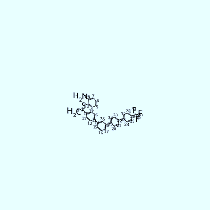 C=C(Sc1ccccc1N)c1ccc(-c2cccc(-c3ccc(-c4ccc(C(F)(F)F)cc4)cc3)c2)cc1